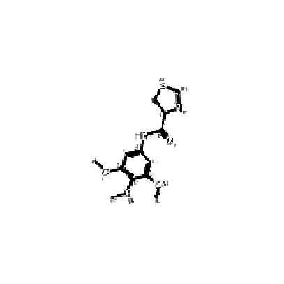 COc1cc(NC(=O)C2CSC=N2)cc(OC)c1OC